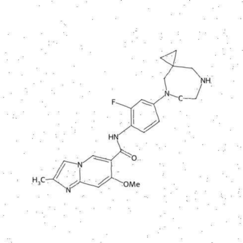 COc1cc2nc(C)cn2cc1C(=O)Nc1ccc(N2CCNCC3(CC3)C2)cc1F